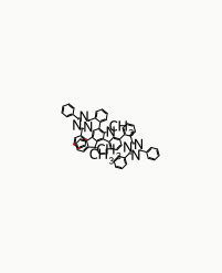 Cn1c2c(-c3ccccc3-c3nc(-c4ccccc4)nc(-c4ccccc4)n3)cccc2c2c3c(cc(-c4ccccc4-c4nc(-c5ccccc5)nc(-c5ccccc5)n4)c21)-c1ccccc1C3(C)C